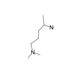 CC([N])CCCN(C)C